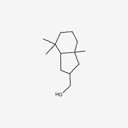 CC1(C)CCCC2(C)CC(CO)CC12